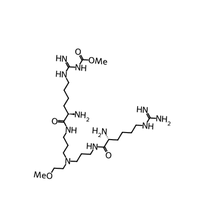 COCCN(CCCNC(=O)[C@H](N)CCCCNC(=N)N)CCCNC(=O)[C@H](N)CCCCNC(=N)NC(=O)OC